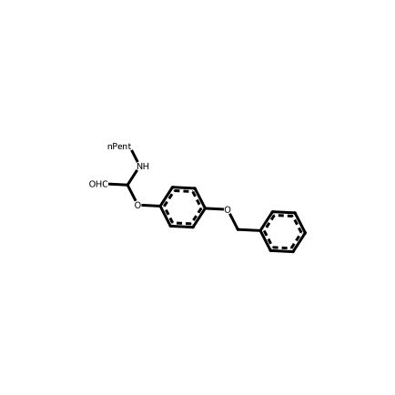 CCCCCNC(C=O)Oc1ccc(OCc2ccccc2)cc1